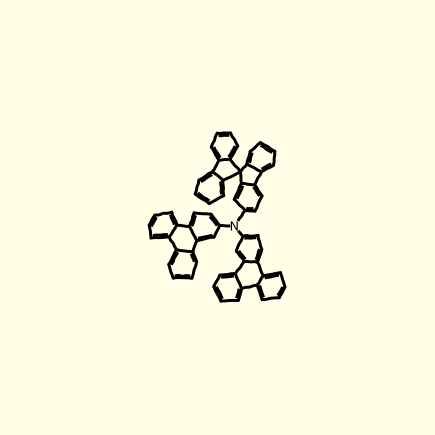 c1ccc2c(c1)-c1ccccc1C21c2ccccc2-c2ccc(N(c3ccc4c5ccccc5c5ccccc5c4c3)c3ccc4c5ccccc5c5ccccc5c4c3)cc21